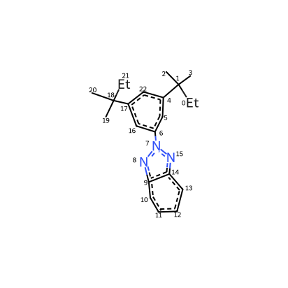 CCC(C)(C)c1cc(-n2nc3ccccc3n2)cc(C(C)(C)CC)c1